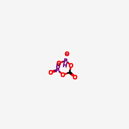 O=C1O[PH](=O)O[PH](=O)O1